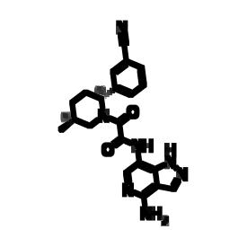 C[C@H]1CC[C@H](c2cccc(C#N)c2)N(C(=O)C(=O)Nc2cnc(N)c3cn[nH]c23)C1